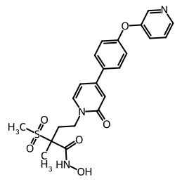 CC(CCn1ccc(-c2ccc(Oc3cccnc3)cc2)cc1=O)(C(=O)NO)S(C)(=O)=O